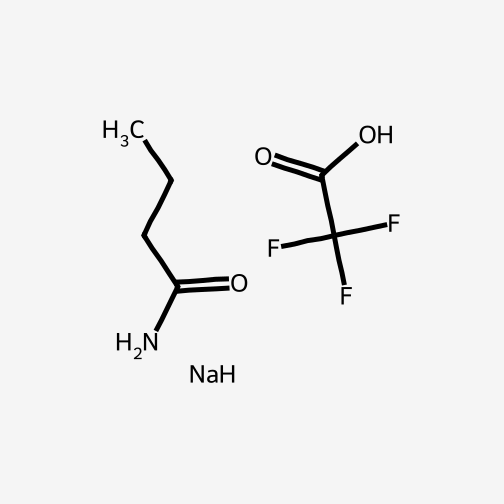 CCCC(N)=O.O=C(O)C(F)(F)F.[NaH]